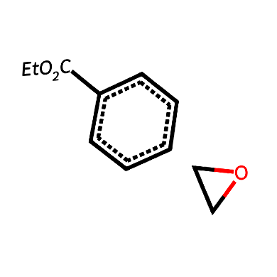 C1CO1.CCOC(=O)c1ccccc1